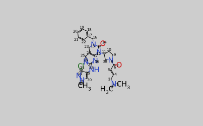 CN(C)C/C=C/C(=O)N1CCC(N2C(=O)N(Cc3ccccc3)Cc3cnc(Nc4cn(C)nc4Cl)nc32)C1